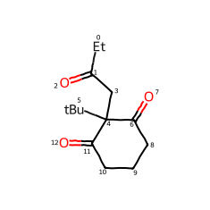 CCC(=O)CC1(C(C)(C)C)C(=O)CCCC1=O